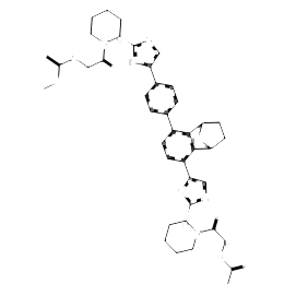 C=C(N[C@@H](C)C(=O)N1CCCC[C@H]1c1ncc(-c2ccc(-c3ccc(-c4cnc([C@@H]5CCCCN5C(=O)[C@H](C)NC(C)=O)[nH]4)c4c3C3CCC4O3)cc2)[nH]1)OC